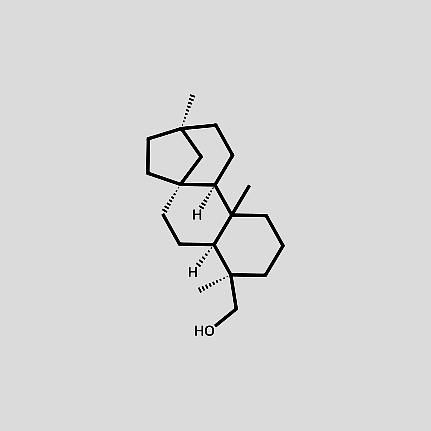 CC12CCC[C@@](C)(CO)[C@H]1CC[C@@]13CC[C@@](C)(CC[C@@H]21)C3